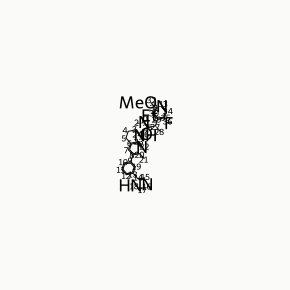 CCN(C[C@H]1CCc2cc(-c3cccc(-c4cnc[nH]4)c3)c(C)nc2N1)C(=O)[C@H](C)c1cc(OC)ncc1F